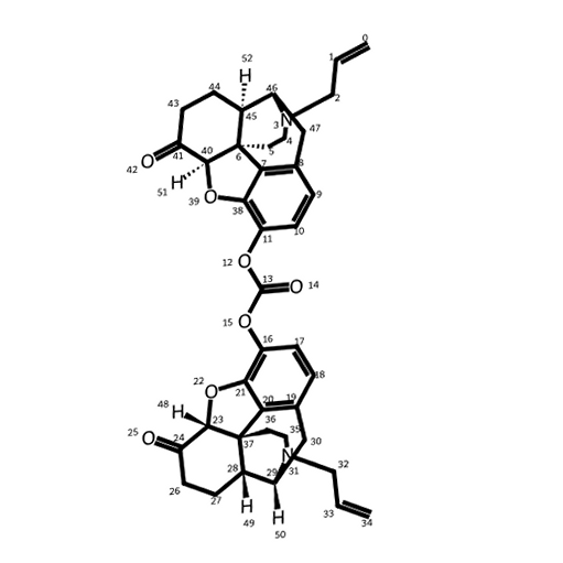 C=CCN1CC[C@]23c4c5ccc(OC(=O)Oc6ccc7c8c6O[C@H]6C(=O)CC[C@H]9[C@@H](C7)N(CC=C)CC[C@]869)c4O[C@H]2C(=O)CC[C@H]3C1C5